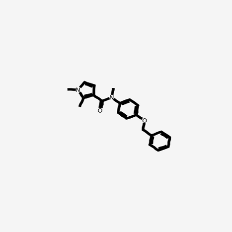 Cc1c(C(=O)N(C)c2ccc(OCc3ccccc3)cc2)ccn1C